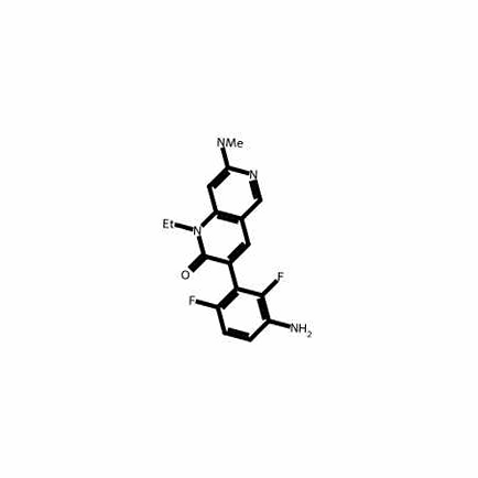 CCn1c(=O)c(-c2c(F)ccc(N)c2F)cc2cnc(NC)cc21